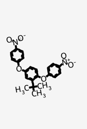 CC(C)(C)c1cc(Oc2ccc([N+](=O)[O-])cc2)ccc1Oc1ccc([N+](=O)[O-])cc1